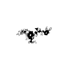 CC(C)(C)NC(=O)Nc1ccc2c(c1)c(C(N)=O)nn2CC(=O)N(CC(=O)NCc1cccc(Cl)c1F)C1CC1